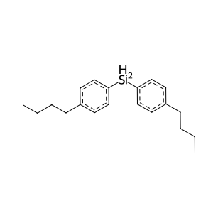 CCCCc1ccc([SiH2]c2ccc(CCCC)cc2)cc1